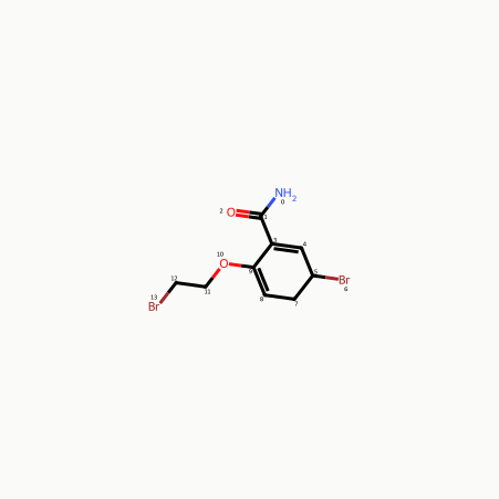 NC(=O)C1=CC(Br)CC=C1OCCBr